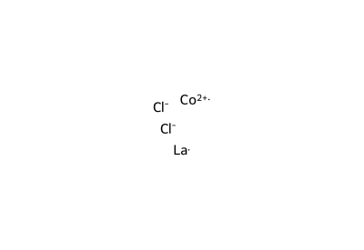 [Cl-].[Cl-].[Co+2].[La]